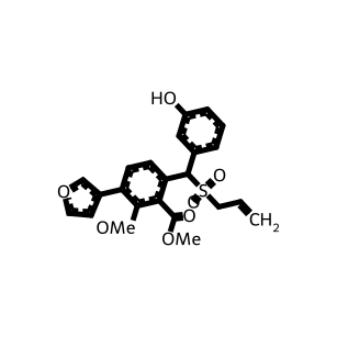 C=CCS(=O)(=O)C(c1cccc(O)c1)c1ccc(-c2ccoc2)c(OC)c1C(=O)OC